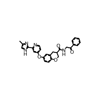 Cc1c[nH]c(-c2cc(Oc3ccc4c(c3)CC(C(=O)NCC(=O)c3ccccc3)CO4)ccn2)n1